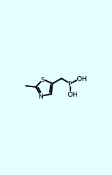 Cc1ncc(CP(O)O)s1